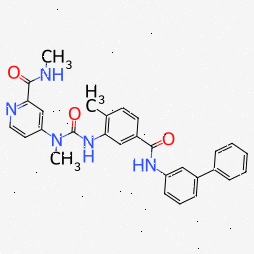 CNC(=O)c1cc(N(C)C(=O)Nc2cc(C(=O)Nc3cccc(-c4ccccc4)c3)ccc2C)ccn1